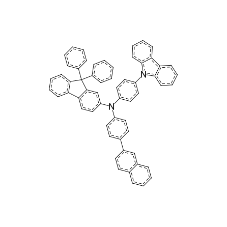 c1ccc(C2(c3ccccc3)c3ccccc3-c3ccc(N(c4ccc(-c5ccc6ccccc6c5)cc4)c4ccc(-n5c6ccccc6c6ccccc65)cc4)cc32)cc1